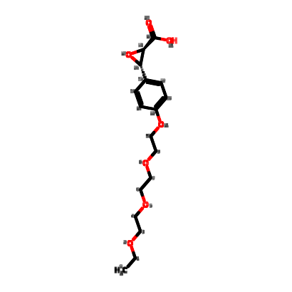 CCOCCOCCOCCOc1ccc([C@@H]2O[C@H]2C(=O)O)cc1